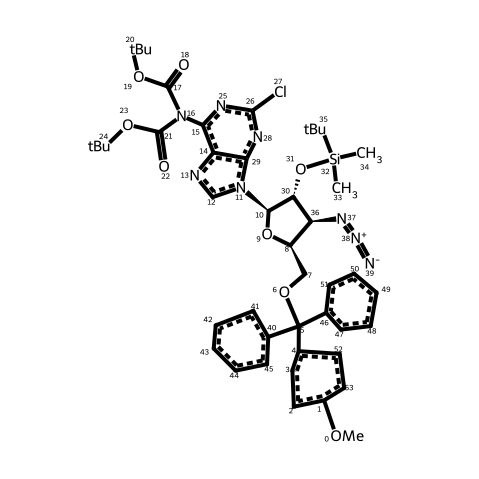 COc1ccc(C(OC[C@H]2O[C@@H](n3cnc4c(N(C(=O)OC(C)(C)C)C(=O)OC(C)(C)C)nc(Cl)nc43)[C@H](O[Si](C)(C)C(C)(C)C)[C@H]2N=[N+]=[N-])(c2ccccc2)c2ccccc2)cc1